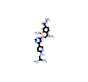 C=C(C)CNc1ccc(-c2cc(NC[C@@H](C)c3ccc(C(=O)NC)cc3OC)ncn2)cn1